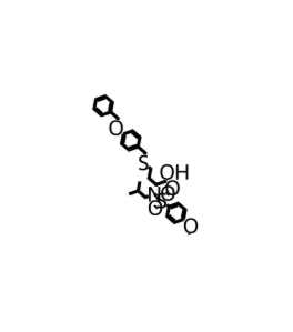 COc1ccc(S(=O)(=O)N(CC(C)C)C(CCSCc2ccc(OCc3ccccc3)cc2)C(=O)O)cc1